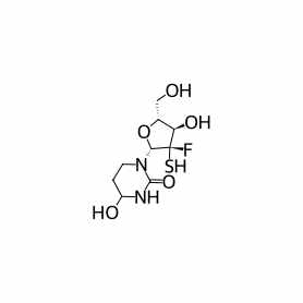 O=C1NC(O)CCN1[C@@H]1O[C@H](CO)[C@@H](O)[C@]1(F)S